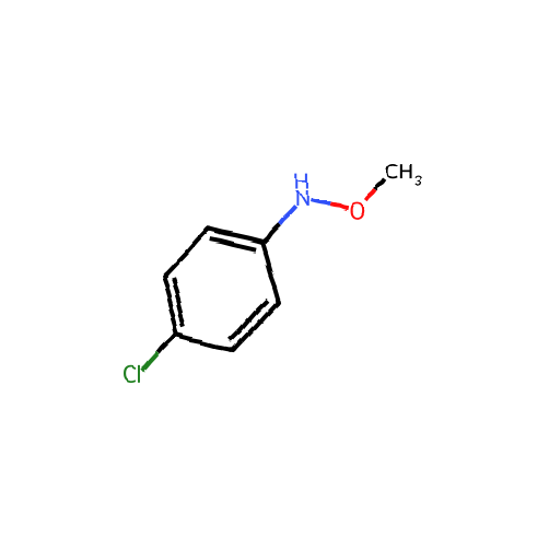 CONc1ccc(Cl)cc1